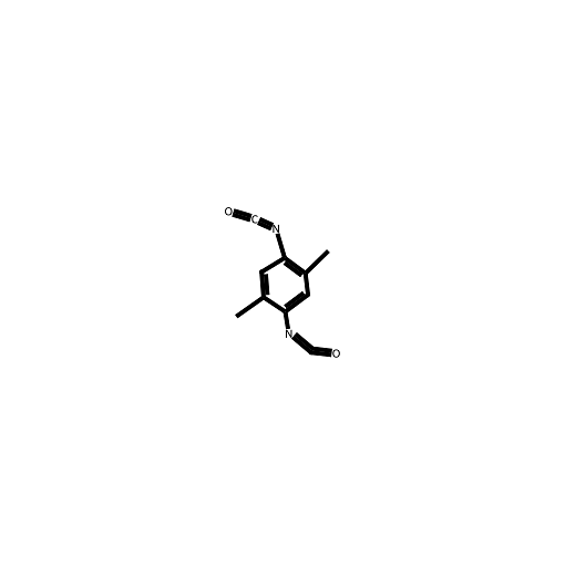 Cc1cc(N=C=O)c(C)cc1N=C=O